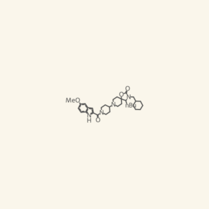 CCCCC1N(CC2CCCCC2)C(=O)OC12CCN(C1CCN(C(=O)c3cc4cc(OC)ccc4[nH]3)CC1)CC2